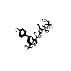 Cc1nc(NC(=O)c2cnn3c(C(F)(F)F)cc(-c4ccc(Cl)cc4)nc23)sc1S(=O)(=O)NC(C)(C)CO